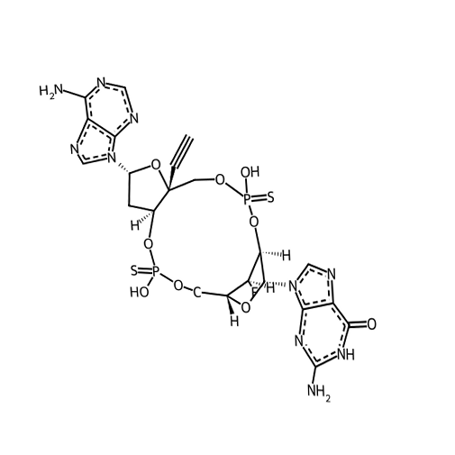 C#C[C@@]12COP(O)(=S)O[C@@H]3[C@@H](F)[C@@H](COP(O)(=S)O[C@H]1C[C@H](n1cnc4c(N)ncnc41)O2)O[C@H]3n1cnc2c(=O)[nH]c(N)nc21